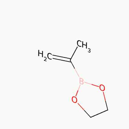 C=C(C)B1OCCO1